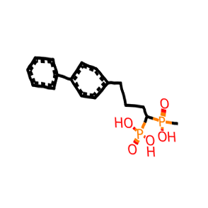 CP(=O)(O)C(CCCc1ccc(-c2ccccc2)cc1)P(=O)(O)O